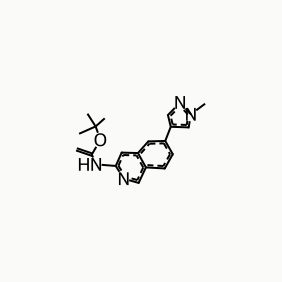 C=C(Nc1cc2cc(-c3cnn(C)c3)ccc2cn1)OC(C)(C)C